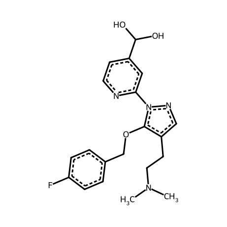 CN(C)CCc1cnn(-c2cc(C(O)O)ccn2)c1OCc1ccc(F)cc1